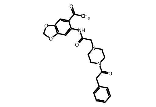 CC(=O)c1cc2c(cc1NC(=O)CN1CCN(C(=O)Cc3ccccc3)CC1)OCO2